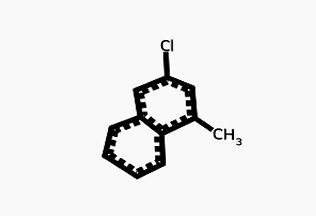 Cc1cc(Cl)cc2ccccc12